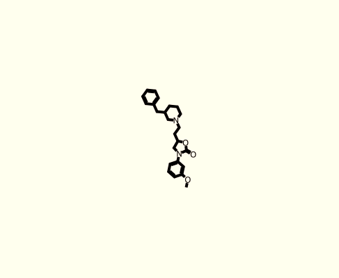 COc1cccc(N2CC(CCN3CCCC(Cc4ccccc4)C3)OC2=O)c1